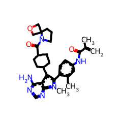 C=C(C)C(=O)Nc1ccc(-c2c(C3CCC(C(=O)N4CCCC45COC5)CC3)c3c(N)ncnc3n2C)c(C)c1